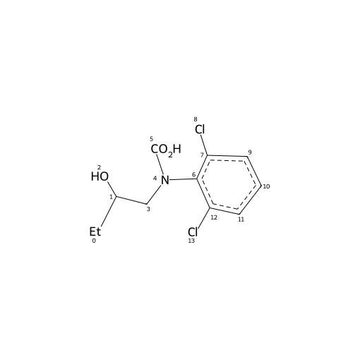 CCC(O)CN(C(=O)O)c1c(Cl)cccc1Cl